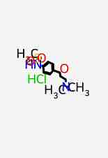 CN(C)CCC(=O)c1ccc(NS(C)(=O)=O)cc1.Cl